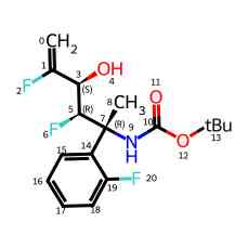 C=C(F)[C@@H](O)[C@H](F)[C@](C)(NC(=O)OC(C)(C)C)c1ccccc1F